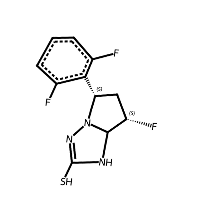 Fc1cccc(F)c1[C@@H]1C[C@H](F)C2NC(S)=NN21